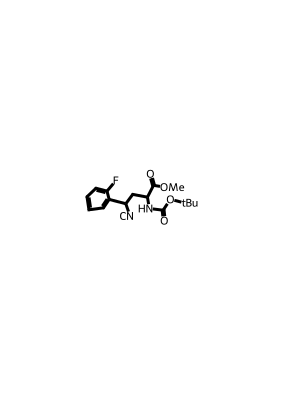 COC(=O)C(CC(C#N)c1ccccc1F)NC(=O)OC(C)(C)C